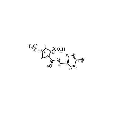 O=C(O)[C@@H]1C[C@@H](OC(F)(F)F)CN1C(=O)OCc1ccc(Br)cc1